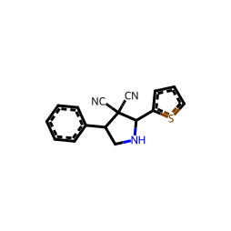 N#CC1(C#N)C(c2ccccc2)CNC1c1cccs1